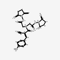 C=C1CCC(=O)N1OC(=O)CN(CC(=O)ON1C(=O)CCC1=O)C(=O)/C(C#N)=C/c1ccc(O)cc1